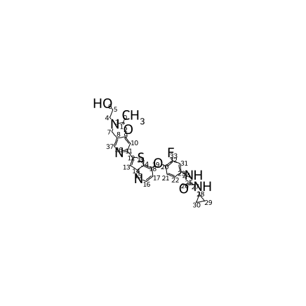 CC(=O)N(CCO)Cc1ccc(-c2cc3nccc(Oc4ccc(NC(=O)NC5CC5)cc4F)c3s2)nc1